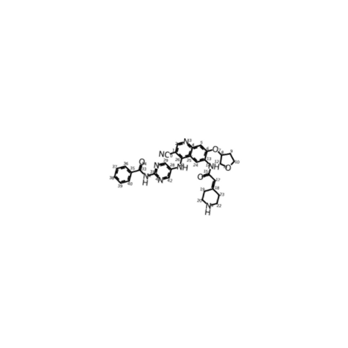 N#Cc1cnc2cc(OC3CCOC3)c(NC(=O)C=C3CCNCC3)cc2c1Nc1cnc(NC(=O)c2ccccc2)nc1